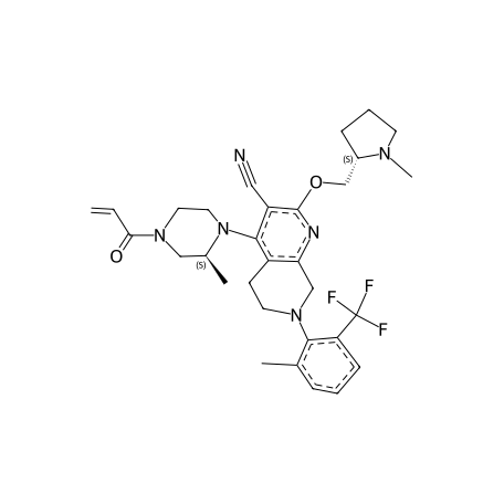 C=CC(=O)N1CCN(c2c(C#N)c(OC[C@@H]3CCCN3C)nc3c2CCN(c2c(C)cccc2C(F)(F)F)C3)[C@@H](C)C1